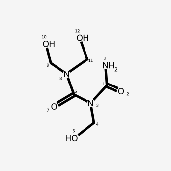 NC(=O)N(CO)C(=O)N(CO)CO